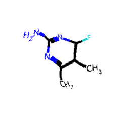 CC1=NC(N)=NC(F)C1C